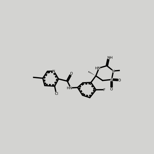 Cc1cnc(C(=O)Nc2ccc(F)c([C@]3(C)CS(=O)(=O)N(C)C(=N)N3)c2)c(Cl)c1